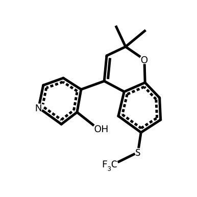 CC1(C)C=C(c2ccncc2O)c2cc(SC(F)(F)F)ccc2O1